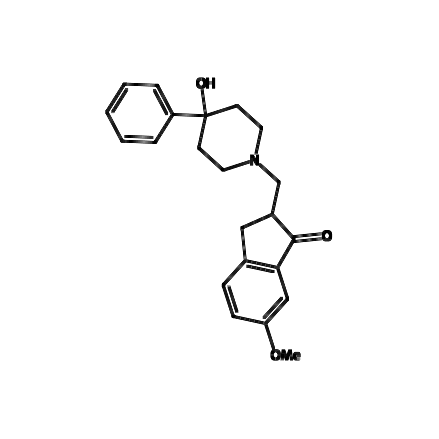 COc1ccc2c(c1)C(=O)C(CN1CCC(O)(c3ccccc3)CC1)C2